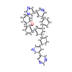 c1cc(-c2cncc(-c3cncnc3)c2)cc(-c2cc(-c3cccc(-c4cncc(-c5cncnc5)c4)c3)cc(-c3cccc4c3oc3ccccc34)c2)c1